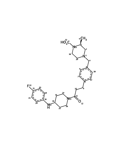 C[C@H]1CN(Cc2ccc(CCC(=O)N3CCC(Nc4ccc(F)cc4)CC3)cc2)CCN1C(=O)O